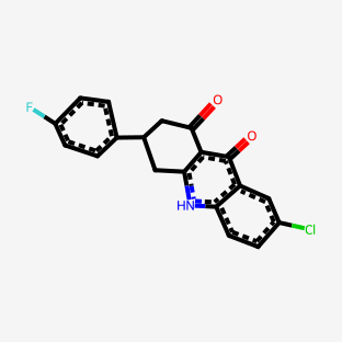 O=C1CC(c2ccc(F)cc2)Cc2[nH]c3ccc(Cl)cc3c(=O)c21